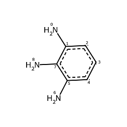 Nc1[c][c][c]c(N)c1N